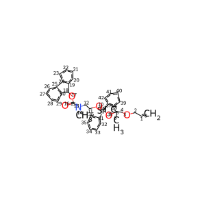 C=CCOCC(C)(C)O[Si](OCCN(C)C(=O)OC1c2ccccc2-c2ccccc21)(c1ccccc1)c1ccccc1